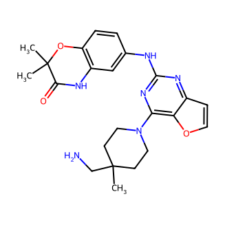 CC1(CN)CCN(c2nc(Nc3ccc4c(c3)NC(=O)C(C)(C)O4)nc3ccoc23)CC1